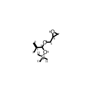 C=C(C)C(OCC1CO1)O[Si](C)(C)C